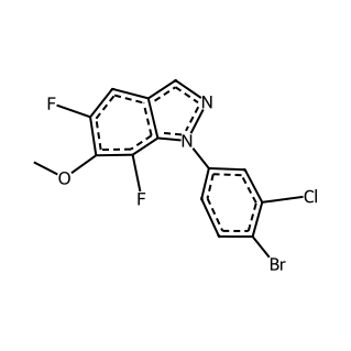 COc1c(F)cc2cnn(-c3ccc(Br)c(Cl)c3)c2c1F